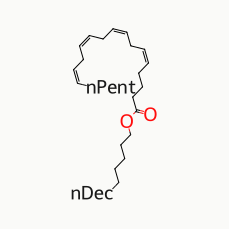 CCCCC/C=C\C/C=C\C/C=C\C/C=C\CCCC(=O)OCCCCCCCCCCCCCCC